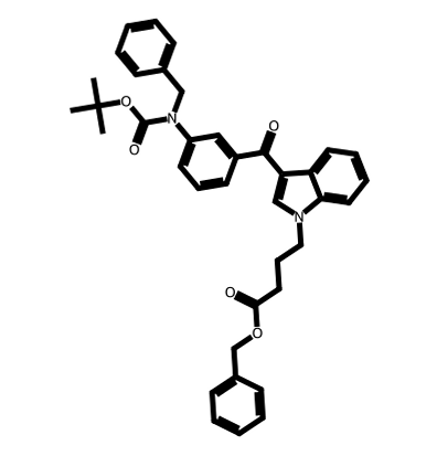 CC(C)(C)OC(=O)N(Cc1ccccc1)c1cccc(C(=O)c2cn(CCCC(=O)OCc3ccccc3)c3ccccc23)c1